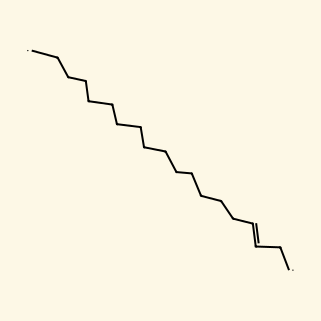 [CH2]C/C=C/CCCCCCCCCCCCCC[CH2]